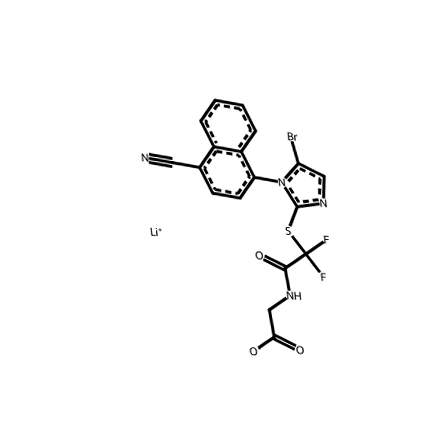 N#Cc1ccc(-n2c(Br)cnc2SC(F)(F)C(=O)NCC(=O)[O-])c2ccccc12.[Li+]